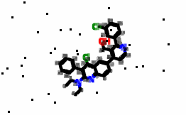 CCN(CC)c1nc2ccc(-c3ccnc(-c4cccc(Cl)c4)c3CO)cc2c(Cl)c1-c1ccccc1